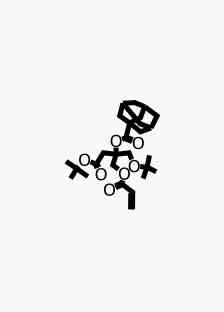 C=CC(=O)OCC(COC(C)(C)C)(CC(=O)OC(C)(C)C)OC(=O)C12CC3CC(CC(C3)C1)C2